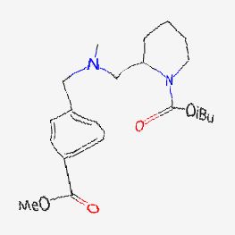 COC(=O)c1ccc(CN(C)CC2CCCCN2C(=O)OCC(C)C)cc1